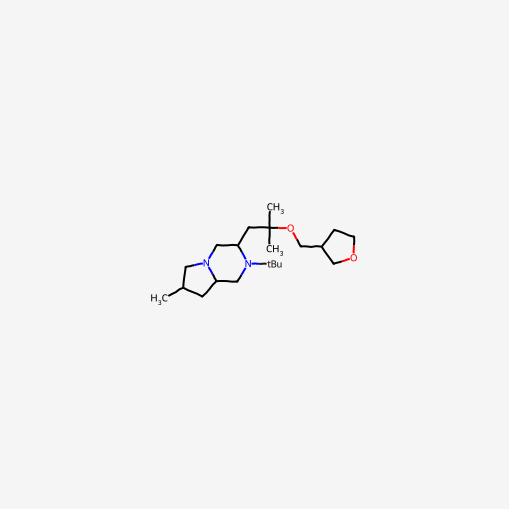 CC1CC2CN(C(C)(C)C)C(CC(C)(C)OCC3CCOC3)CN2C1